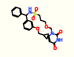 O=c1ccn(COCCCS(=O)(=O)NC(c2ccccc2)c2cccc(OCC3CC3)c2)c(=O)[nH]1